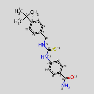 CC(C)(C)c1ccc(CNC(=S)Nc2ccc(C(N)=O)cc2)cc1